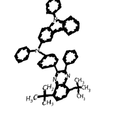 CC(C)(C)c1ccc(C(C)(C)C)c2nc(-c3ccc(N(c4ccccc4)c4ccc5c(c4)c4ccccc4n5-c4ccccc4)cc3)c(-c3ccccc3)nc12